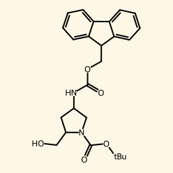 CC(C)(C)OC(=O)N1CC(NC(=O)OCC2c3ccccc3-c3ccccc32)CC1CO